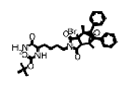 CC(C)(C)OC(=O)NC(CCCCN1C(=O)C2C3(C)C(=O)C(C)(C(c4ccccc4)=C3c3ccccc3)C2(Br)C1=O)C(N)=O